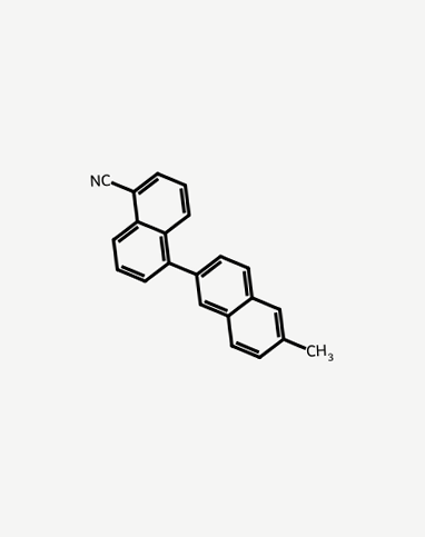 Cc1ccc2cc(-c3cccc4c(C#N)cccc34)ccc2c1